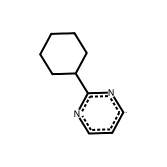 [c]1ccnc(C2CCCCC2)n1